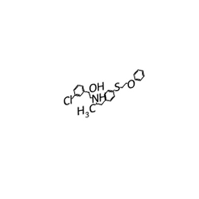 CC(Cc1ccc(SCCOc2ccccc2)cc1)NCC(O)c1cccc(Cl)c1